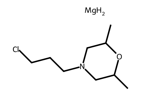 CC1CN(CCCCl)CC(C)O1.[MgH2]